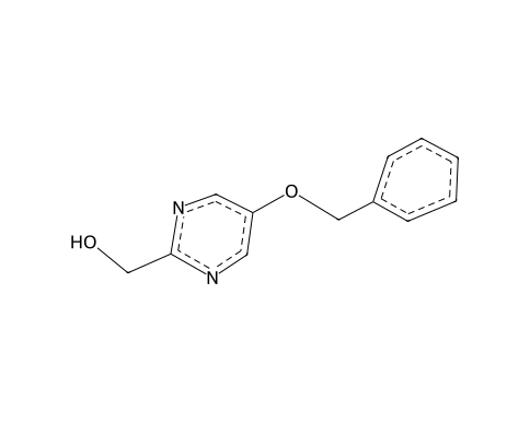 OCc1ncc(OCc2ccccc2)cn1